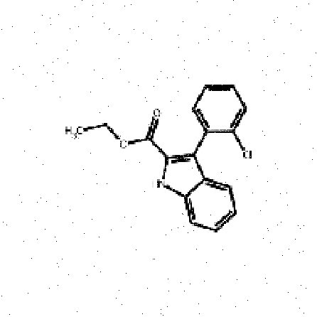 CCOC(=O)c1[nH]c2ccccc2c1-c1ccccc1Cl